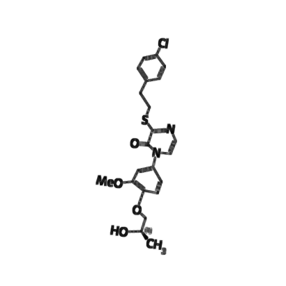 COc1cc(-n2ccnc(SCCc3ccc(Cl)cc3)c2=O)ccc1OC[C@@H](C)O